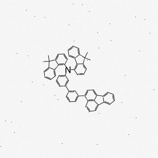 CC1(C)c2ccccc2-c2c(N(c3cccc(-c4cccc(-c5ccc6c7c(cccc57)-c5ccccc5-6)c4)c3)c3cccc4c3-c3ccccc3C4(C)C)cccc21